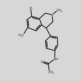 CC(=O)Nc1ccc(C2CN(C)Cc3c(Cl)cc(C)cc32)cc1